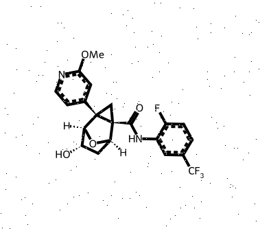 COc1cc([C@@]23C[C@]2(C(=O)Nc2cc(C(F)(F)F)ccc2F)[C@H]2C[C@H](O)[C@@H]3O2)ccn1